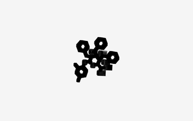 Cc1ccc(OC2O[C@H](C(O)O)[C@](O)(Cc3ccccc3)[C@@](O)(Cc3ccccc3)[C@@]2(O)Cc2ccccc2)c(C)c1